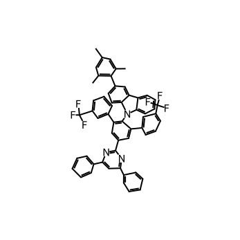 Cc1cc(C)c(-c2ccc3c(c2)c2ccccc2n3-c2c(-c3cccc(C(F)(F)F)c3)cc(-c3nc(-c4ccccc4)cc(-c4ccccc4)n3)cc2-c2cccc(C(F)(F)F)c2)c(C)c1